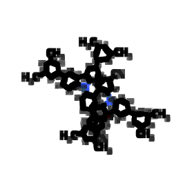 Cc1cc(C)cc(-c2ccc3c(c2)c2cc(-c4cc(C)cc(C)c4)ccc2n3-c2ccc(-c3ccc(C#N)cc3C(F)(F)F)cc2-c2ccc(C#N)cc2-n2c3ccc(-c4cc(C)cc(C)c4)cc3c3cc(-c4cc(C)cc(C)c4)ccc32)c1